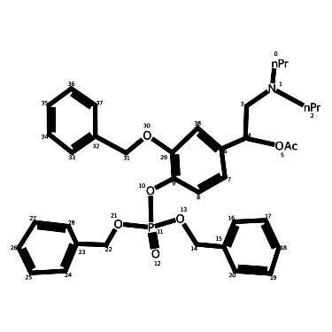 CCCN(CCC)CC(OC(C)=O)c1ccc(OP(=O)(OCc2ccccc2)OCc2ccccc2)c(OCc2ccccc2)c1